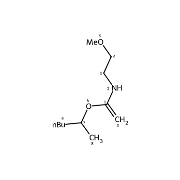 C=C(NCCOC)OC(C)CCCC